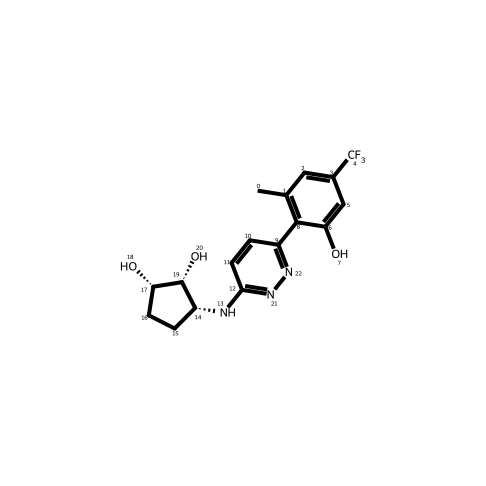 Cc1cc(C(F)(F)F)cc(O)c1-c1ccc(N[C@@H]2CC[C@H](O)[C@@H]2O)nn1